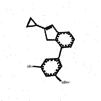 CC(C)(C)c1cc(-c2cccc3c2CC(C2CC2)=C3)cc(C(C)(C)C)c1